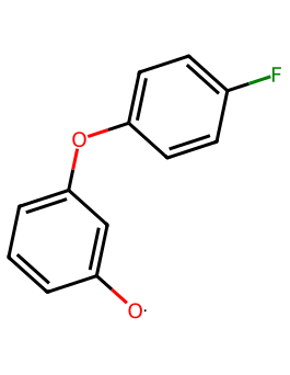 [O]c1cccc(Oc2ccc(F)cc2)c1